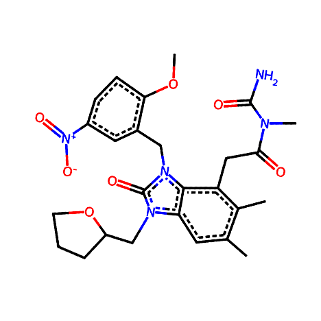 COc1ccc([N+](=O)[O-])cc1Cn1c(=O)n(CC2CCCO2)c2cc(C)c(C)c(CC(=O)N(C)C(N)=O)c21